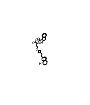 O=C(N[C@@H](CCOC1CC(CCc2ccc3c(n2)NCCC3)C1)C(=O)O)C1CCc2ccccc21